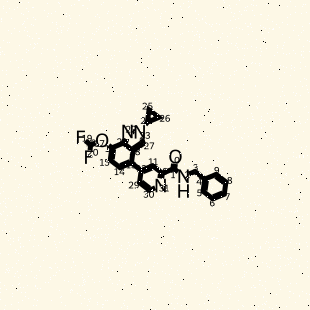 O=C(NCc1ccccc1)c1cc(-c2ccc(OC(F)F)c3nn(C4CC4)cc23)ccn1